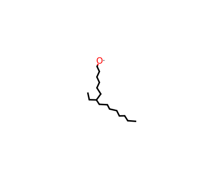 CCCCCCCCC(CC)CCCCCC[O]